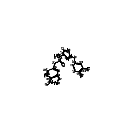 Cn1ncc2cc(CC(=O)Nc3cnn(Cc4ccc(F)c(F)c4)n3)cnc21